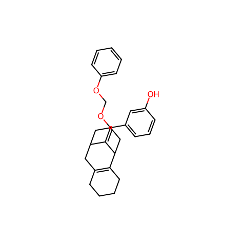 Oc1cccc(/C(OCOc2ccccc2)=C2/C3CCCC2C2=C(CCCC2)C3)c1